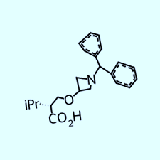 CC(C)[C@H](COC1CN(C(c2ccccc2)c2ccccc2)C1)C(=O)O